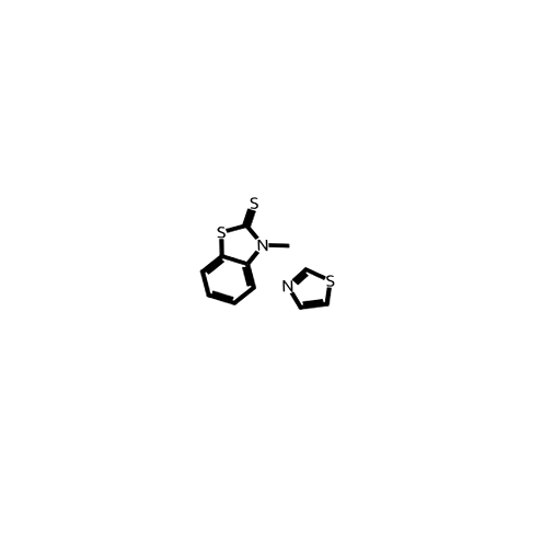 Cn1c(=S)sc2ccccc21.c1cscn1